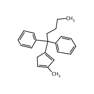 CCCCC(C1=CC(C)=CC1)(c1ccccc1)c1ccccc1